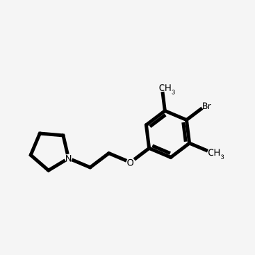 Cc1cc(OCCN2CCCC2)cc(C)c1Br